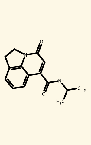 CC(C)NC(=O)c1cc(=O)n2c3c(cccc13)CC2